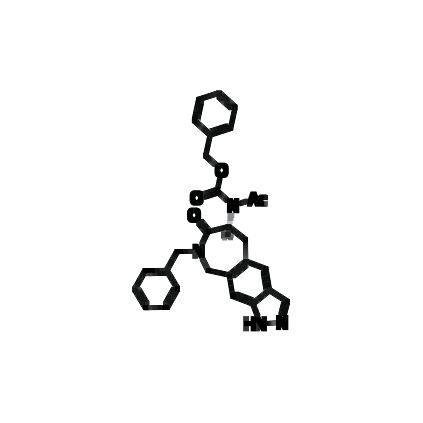 CC(=O)N(C(=O)OCc1ccccc1)[C@@H]1Cc2cc3cn[nH]c3cc2CN(Cc2ccccc2)C1=O